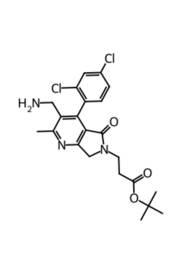 Cc1nc2c(c(-c3ccc(Cl)cc3Cl)c1CN)C(=O)N(CCC(=O)OC(C)(C)C)C2